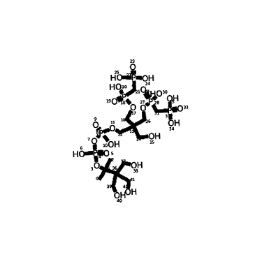 CC(C)(OP(=O)(O)OP(=O)(O)OCC(CO)(COP(=O)(O)CP(=O)(O)O)COP(=O)(O)CP(=O)(O)O)C(CO)(CO)CO